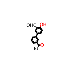 CCC(=O)c1cccc(-c2ccc(O)c(C=O)c2)c1